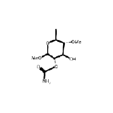 COC1OC(C)[C@H](OC)C(O)[C@@H]1OC(N)=O